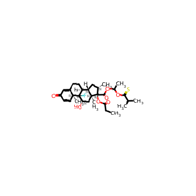 CCC(=O)O[C@]1(C(=O)OC(C)OC(=S)C(C)C)[C@@H](C)C[C@H]2[C@@H]3CCC4=CC(=O)C=C[C@]4(C)[C@@]3(F)[C@@H](O)C[C@@]21C